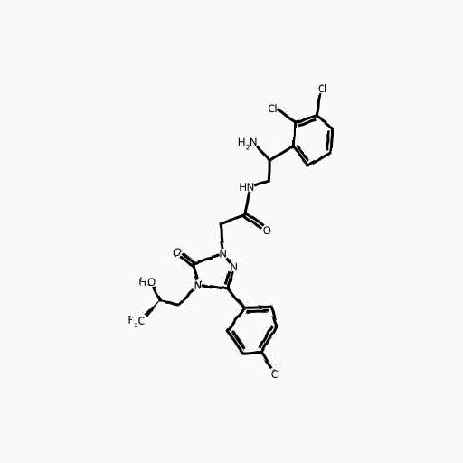 NC(CNC(=O)Cn1nc(-c2ccc(Cl)cc2)n(C[C@H](O)C(F)(F)F)c1=O)c1cccc(Cl)c1Cl